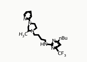 CCCCc1cc(C(F)(F)F)nc(NCCCCN2CCN(c3ccccn3)CC2C)n1